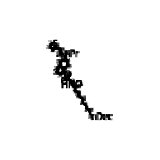 CCCCCCCCCCCCCCCCCCCC(=O)NCC(=O)Oc1cccc2c1CC[C@H](N(CCC)CCc1cccs1)C2